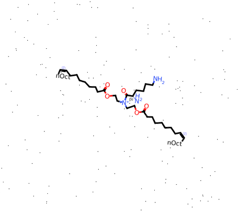 CCCCCCCC/C=C\CCCCCCCC(=O)OCC[N+](CCOC(=O)CCCCCCC/C=C\CCCCCCCC)C(=O)[C@@H](N)CCCCN